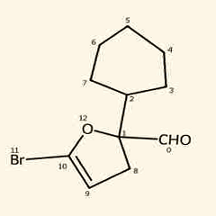 O=CC1(C2CCCCC2)CC=C(Br)O1